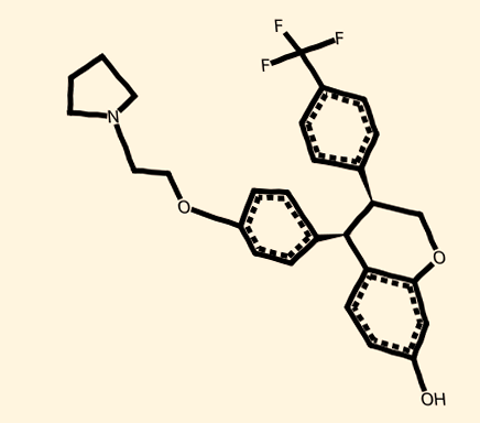 Oc1ccc2c(c1)OC[C@H](c1ccc(C(F)(F)F)cc1)[C@@H]2c1ccc(OCCN2CCCC2)cc1